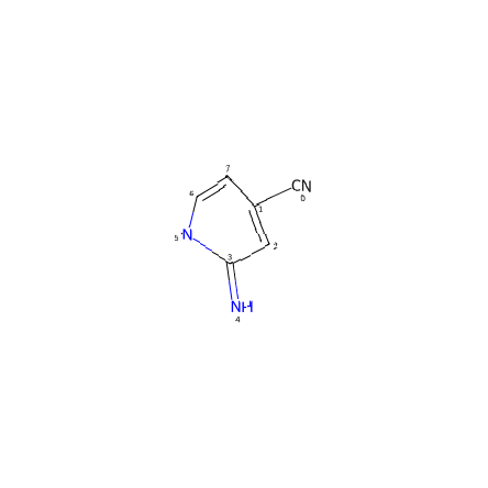 N#CC1=CC(=N)[N]C=C1